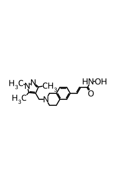 Cc1nn(C)c(C)c1CN1CCc2cc(/C=C/C(=O)NO)ccc2C1